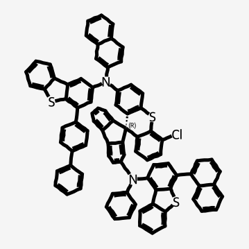 Clc1cccc2c1Sc1ccc(N(c3ccc4ccccc4c3)c3cc(-c4ccc(-c5ccccc5)cc4)c4sc5ccccc5c4c3)cc1[C@]21c2ccccc2-c2ccc(N(c3ccccc3)c3ccc(-c4cccc5ccccc45)c4sc5ccccc5c34)cc21